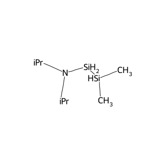 CC(C)N([SiH2][SiH](C)C)C(C)C